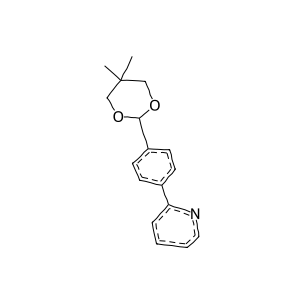 CC1(C)COC(c2ccc(-c3ccccn3)cc2)OC1